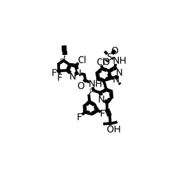 C#C[C@H]1CC(F)(F)c2nn(CC(=O)N[C@@H](Cc3cc(F)cc(F)c3)c3nc(C#CC(C)(C)O)ccc3-c3ccc(Cl)c4c(NS(C)(=O)=O)nn(C)c34)c(Cl)c21